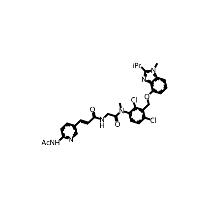 CC(=O)Nc1ccc(C=CC(=O)NCC(=O)N(C)c2ccc(Cl)c(COc3cccc4c3nc(C(C)C)n4C)c2Cl)cn1